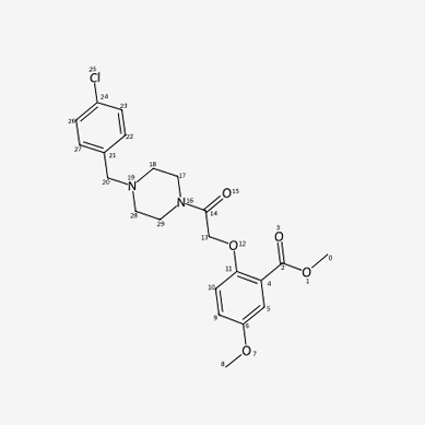 COC(=O)c1cc(OC)ccc1OCC(=O)N1CCN(Cc2ccc(Cl)cc2)CC1